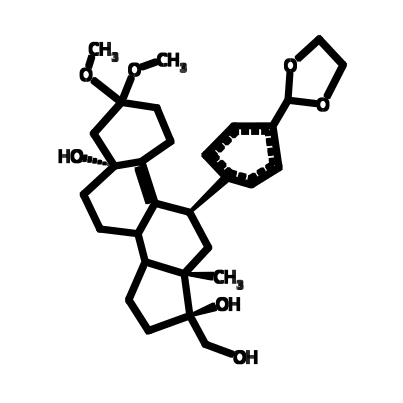 COC1(OC)CCC2=C3C(CC[C@@]2(O)C1)C1CC[C@@](O)(CO)[C@@]1(C)C[C@@H]3c1ccc(C2OCCO2)cc1